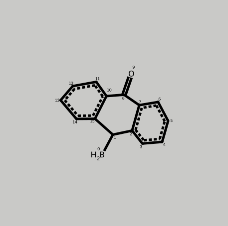 BC1c2ccccc2C(=O)c2ccccc21